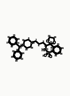 O=S1(=O)NC(CCCN2CCN(C(c3ccccc3)c3ccccc3)CC2)C2(OCCO2)c2ccccc21